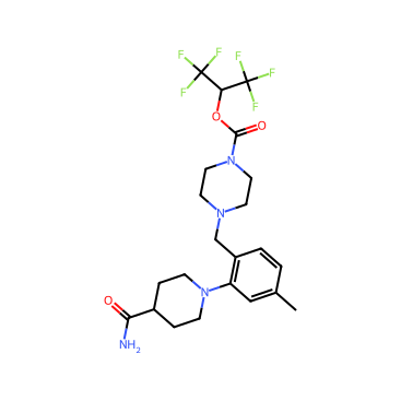 Cc1ccc(CN2CCN(C(=O)OC(C(F)(F)F)C(F)(F)F)CC2)c(N2CCC(C(N)=O)CC2)c1